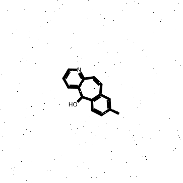 Cc1ccc2c(c1)C=Cc1ncccc1C2O